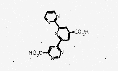 O=C(O)c1cc(-c2cc(C(=O)O)ncn2)nc(-c2ncccn2)c1